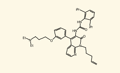 C=CCCCn1c(=O)c(NC(=O)Nc2c(C(C)C)cccc2C(C)C)c(-c2cccc(OCCCN(CC)CC)c2)c2cccnc21